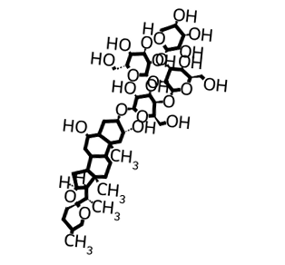 CC1CC[C@@]2(OC1)O[C@H]1CC3C4C[C@@H](O)C5C[C@@H](O[C@@H]6O[C@H](CO)[C@H](O[C@@H]7O[C@H](CO)[C@@H](O)[C@H](O[C@@H]8OC[C@@H](O)[C@H](O)[C@H]8O)[C@H]7O[C@@H]7O[C@H](CO)[C@@H](O)[C@H](O)[C@H]7O)[C@H](O)[C@H]6O)[C@H](O)C[C@]5(C)C4CC[C@]3(C)[C@H]1[C@@H]2C